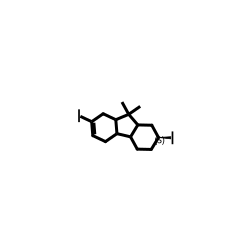 CC1(C)C2CC(I)=CCC2C2CC[C@H](I)CC21